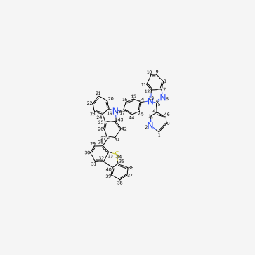 c1cncc(-c2nc3ccccc3n2-c2ccc(-n3c4ccccc4c4cc(-c5cccc6c5sc5ccccc56)ccc43)cc2)c1